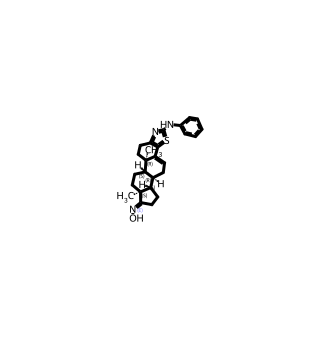 C[C@]12CCc3nc(Nc4ccccc4)sc3C1=CC[C@@H]1[C@@H]2CC[C@]2(C)/C(=N/O)CC[C@@H]12